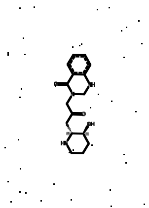 O=C(C[C@H]1NCCC[C@@H]1O)CN1CNc2ccccc2C1=O